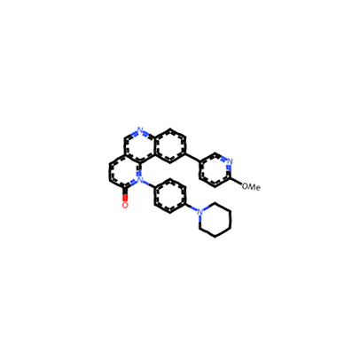 COc1ccc(-c2ccc3ncc4ccc(=O)n(-c5ccc(N6CCCCC6)cc5)c4c3c2)cn1